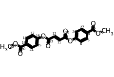 COC(=O)c1ccc(OC(=O)C=CC(=O)Oc2ccc(C(=O)OC)cc2)cc1